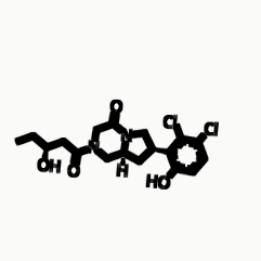 CC[C@H](O)CC(=O)N1CC(=O)N2C[C@@H](c3c(O)ccc(Cl)c3Cl)C[C@H]2C1